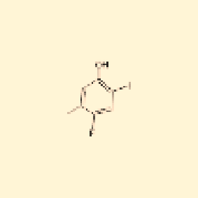 Cc1cc(O)c(I)cc1F